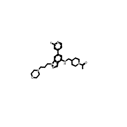 CC(=O)N1CCC(CNc2cc(-c3ccnc(F)c3)cc3c2cnn3CCCN2CCOCC2)CC1